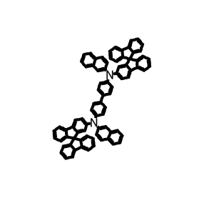 c1ccc2c(c1)-c1ccccc1C21c2ccccc2-c2ccc(N(c3ccc(-c4ccc(N(c5ccc6c(c5)C5(c7ccccc7-c7ccccc75)c5ccccc5-6)c5ccc6ccccc6c5)cc4)cc3)c3ccc4ccccc4c3)cc21